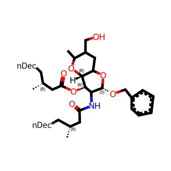 CCCCCCCCCCC[C@@H](C)CC(=O)NC1[C@@H](OCc2ccccc2)OC2CC(CO)C(C)O[C@H]2[C@@H]1OC(=O)C[C@H](C)CCCCCCCCCCC